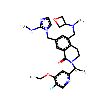 CCOc1cc([C@H](C)N2CCc3c(CN(C)C4COC4)cc(Cn4ccnc4NC)cc3C2=O)ncc1F